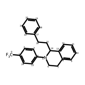 FC(F)(F)c1ccc(N2CCc3ccccc3C2CCc2ccccc2)cc1